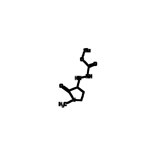 CN1CCC(NNC(=O)OC(C)(C)C)C1=O